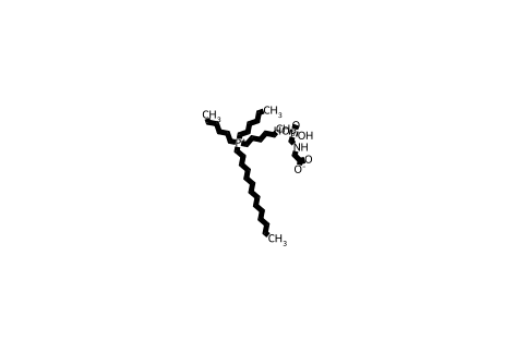 CCCCCCCCCCCCCC[P+](CCCCCC)(CCCCCC)CCCCCC.O=C([O-])CNCP(=O)(O)O